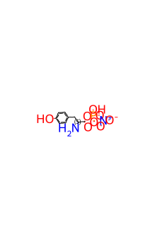 N[C@@H](Cc1ccc(O)cc1)C(=O)OP(=O)(O)O[N+](=O)[O-]